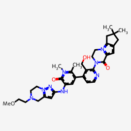 COCCN1CCn2nc(Nc3cc(-c4ccnc(N5CCn6c(cc7c6CC(C)(C)C7)C5=O)c4CO)c(C)n(C)c3=O)cc2C1